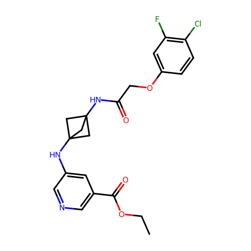 CCOC(=O)c1cncc(NC23CC(NC(=O)COc4ccc(Cl)c(F)c4)(C2)C3)c1